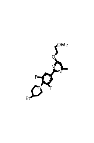 CCC1CCN(c2c(F)cc(-c3nc(C)cc(OCCOC)n3)cc2F)CC1